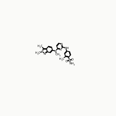 Cc1cc(Nc2nccc(N(C)c3ccc4c(C)n(C)nc4c3)n2)ccc1S(N)(=O)=O